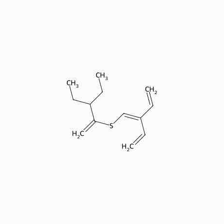 C=CC(C=C)=CSC(=C)C(CC)CC